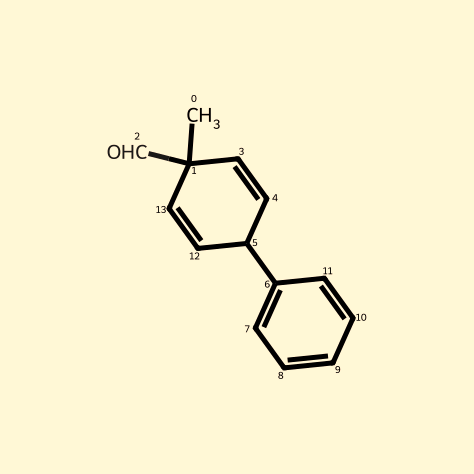 CC1(C=O)C=CC(c2ccccc2)C=C1